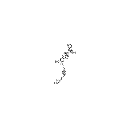 Cc1c(S(=O)(=O)NCP(=O)(O)Oc2cccnc2)sc2cc(C#N)c(OCCC[N+]34CC[N+](CCCNC=N)(CC3)CC4)cc12